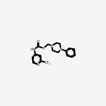 O=C(Nc1ccnc(C(F)(F)F)c1)SCN1CCN(c2ccccc2)CC1